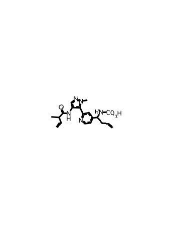 C=CCC(NC(=O)O)c1ccnc(-c2c(NC(=O)C(C)C=C)cnn2C)c1